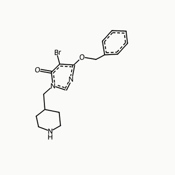 O=c1c(Br)c(OCc2ccccc2)ncn1CC1CCNCC1